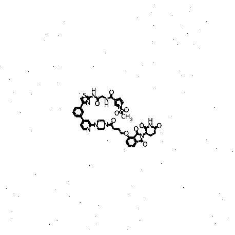 CS(=O)(=O)n1ccc(C(=O)NCC(=O)Nc2nc(-c3cccc(-c4ccnc(N5CCN(C(=O)CCCOc6cccc7c6C(=O)N(C6CCC(=O)NC6=O)C7=O)CC5)c4)c3)cs2)c1